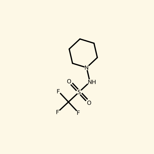 O=S(=O)(NN1CCCCC1)C(F)(F)F